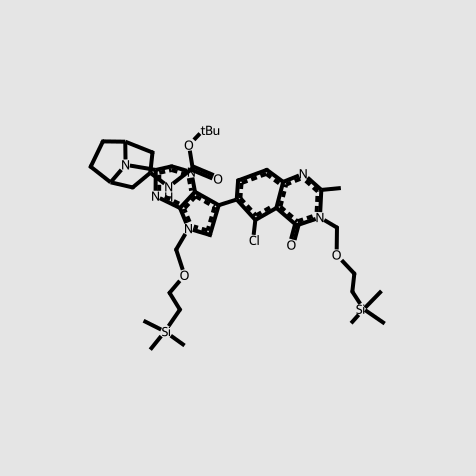 Cc1nc2ccc(-c3cn(COCC[Si](C)(C)C)c4nc(N5C6CCC5CC(NC(=O)OC(C)(C)C)C6)cnc34)c(Cl)c2c(=O)n1COCC[Si](C)(C)C